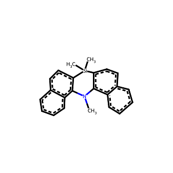 CN1c2c(ccc3ccccc23)[Si](C)(C)c2ccc3ccccc3c21